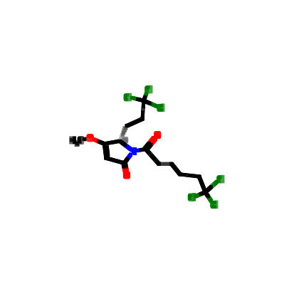 COC1=CC(=O)N(C(=O)CCCCC(Cl)(Cl)Cl)[C@H]1CCC(Cl)(Cl)Cl